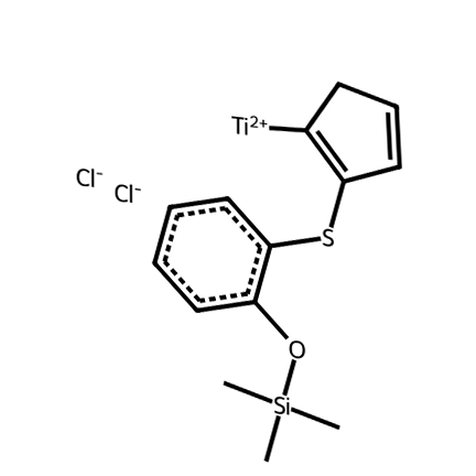 C[Si](C)(C)Oc1ccccc1SC1=[C]([Ti+2])CC=C1.[Cl-].[Cl-]